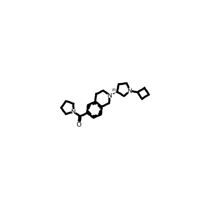 O=C(c1ccc2c(c1)CCN([C@@H]1CCN(C3CCC3)C1)C2)N1CCCC1